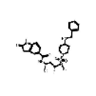 CC[C@H](C[C@@H](F)N(CC)S(=O)(=O)N1CCC(NCc2ccccc2)CC1)NC(=O)c1ccc2c(c1)CC(=O)N2